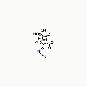 C[C@@H](O)[C@H]1C(=O)N2C(C(=O)[O-])=C(S/C=C\C#N)S[C@H]12.[K+]